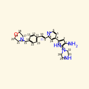 Nc1cc(-c2ccnc(/C=C/c3ccc(CN4CCOCC4)cc3)c2)[nH]c1N1CCNCC1